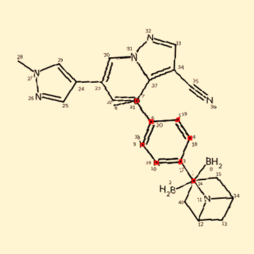 BC(B)(c1ccc(OC)nc1)N1C2CC1CN(c1ccc(-c3cc(-c4cnn(C)c4)cn4ncc(C#N)c34)cn1)C2